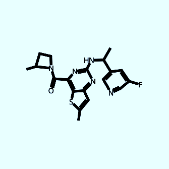 Cc1cc2nc(NC(C)c3cncc(F)c3)nc(C(=O)N3CCC3C)c2s1